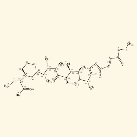 CCOC(=O)/C=C/c1ccc([C@H](C)C[C@H](C)[C@H](O)[C@@H](CC)C(=O)[C@@H](C)[C@@H](O)[C@H](C)[C@H]2CCC[C@H]([C@@H](CC)C(=O)O)O2)o1